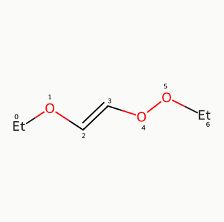 CCOC=COOCC